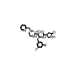 O=C1CC(C(=O)N[C@@H](Cc2cc(F)cc(F)c2)[C@H](O)[C@H]2CN(Cc3ccccn3)CCN2)CN1